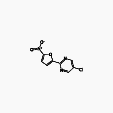 O=[N+]([O-])c1ccc(-c2ncc(Cl)cn2)o1